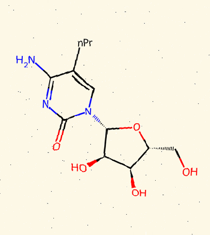 CCCc1cn([C@@H]2O[C@H](CO)[C@@H](O)[C@H]2O)c(=O)nc1N